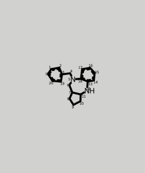 c1ccc(CN2CC3CCCC3Nc3ccccc32)cc1